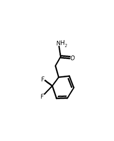 NC(=O)CC1C=CC=CC1(F)F